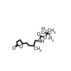 CC(CCC1CCC(=O)O1)CNC(=O)OC(C)(C)C